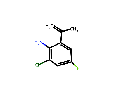 C=C(C)c1cc(F)cc(Cl)c1N